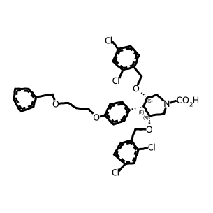 O=C(O)N1C[C@H](OCc2ccc(Cl)cc2Cl)[C@H](c2ccc(OCCCOCc3ccccc3)cc2)[C@H](OCc2ccc(Cl)cc2Cl)C1